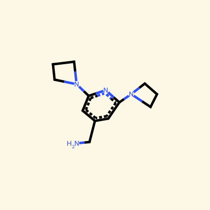 NCc1cc(N2CCC2)nc(N2CCC2)c1